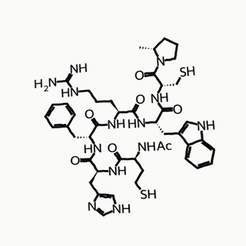 CC(=O)N[C@@H](CCS)C(=O)N[C@@H](Cc1c[nH]cn1)C(=O)N[C@H](Cc1ccccc1)C(=O)N[C@@H](CCCNC(=N)N)C(=O)N[C@@H](Cc1c[nH]c2ccccc12)C(=O)N[C@@H](CS)C(=O)N1CCC[C@H]1C